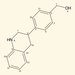 OCc1ccc(C2CNc3ccccc3C2)cc1